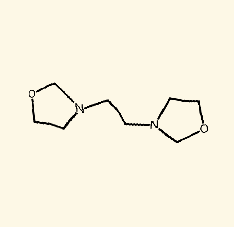 C1CN(CCN2CCOC2)CO1